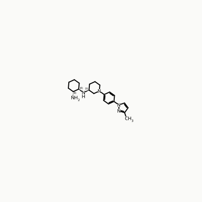 Cc1ccn(-c2ccc(N3CCC[C@H](N[C@@H]4CCCC[C@H]4N)C3)cc2)n1